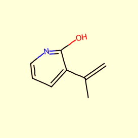 C=C(C)c1cccnc1O